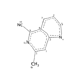 Cc1cc2ncccc2c(C#N)n1